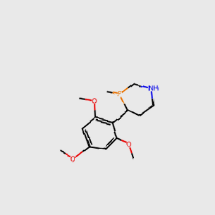 COc1cc(OC)c(C2CCNCP2C)c(OC)c1